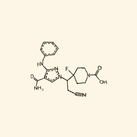 N#CCC(n1cc(C(N)=O)c(Nc2ccccc2)n1)C1(F)CCN(C(=O)O)CC1